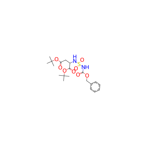 CC(C)(C)OC(=O)CC(NS(=O)(=O)NC(=O)OCc1ccccc1)C(=O)OC(C)(C)C